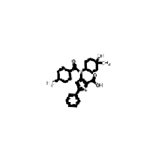 CC1CCC(C(=O)N(c2cc(-c3ccccc3)sc2C(=O)O)C2CCC(C)(O)CC2)CC1